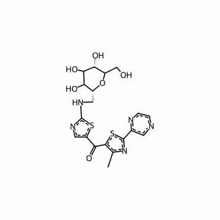 Cc1nc(-c2cnccn2)sc1C(=O)c1cnc(NC[C@H]2OC(CO)[C@@H](O)C(O)C2O)s1